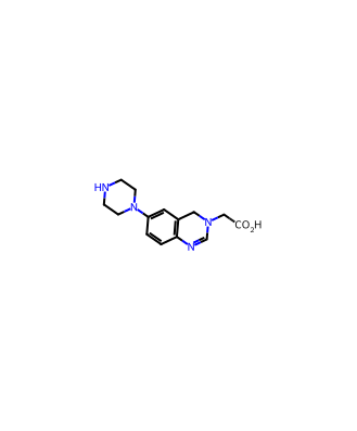 O=C(O)CN1C=Nc2ccc(N3CCNCC3)cc2C1